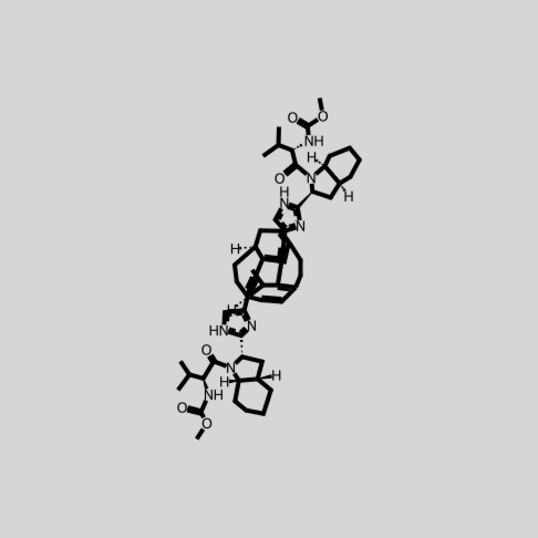 COC(=O)N[C@H](C(=O)N1[C@H](c2nc(C#CC3=CC4=CC[C@@H]3CC[C@@H]3C=CC(=C(C#Cc5c[nH]c([C@@H]6C[C@@H]7CCCC[C@@H]7N6C(=O)[C@@H](NC(=O)OC)C(C)C)n5)C3C)CC4)c[nH]2)C[C@@H]2CCCC[C@@H]21)C(C)C